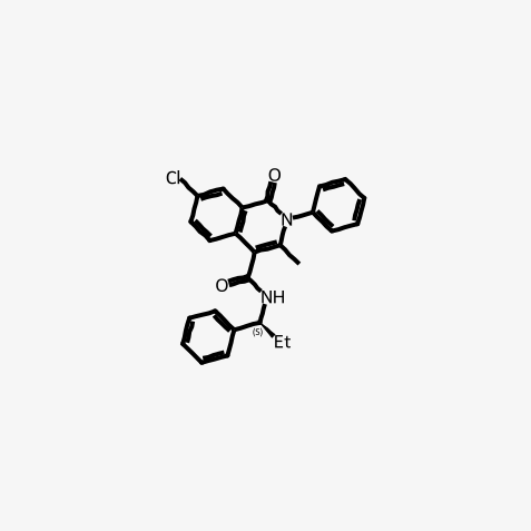 CC[C@H](NC(=O)c1c(C)n(-c2ccccc2)c(=O)c2cc(Cl)ccc12)c1ccccc1